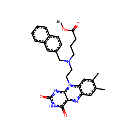 Cc1cc2nc3c(=O)[nH]c(=O)nc-3n(CCN(CCCC(=O)OC(C)(C)C)Cc3ccc4ccccc4c3)c2cc1C